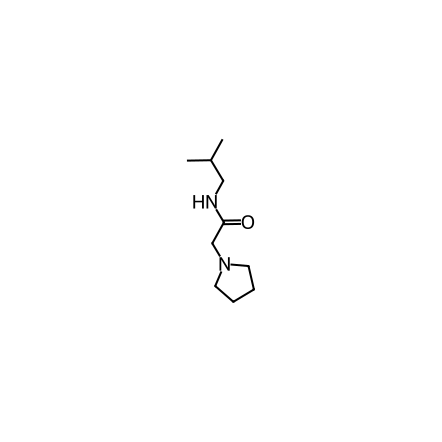 CC(C)CNC(=O)CN1CCCC1